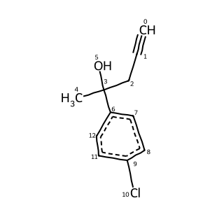 C#CCC(C)(O)c1ccc(Cl)cc1